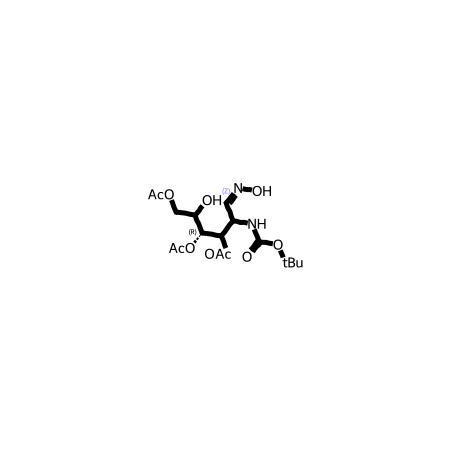 CC(=O)OCC(O)[C@@H](OC(C)=O)C(OC(C)=O)C(/C=N\O)NC(=O)OC(C)(C)C